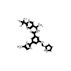 Cc1cnc(-c2cc(OC[C@H]3CCCN3)cc(C(=O)NC(C)c3cnc(C(F)(F)F)nc3)c2)s1